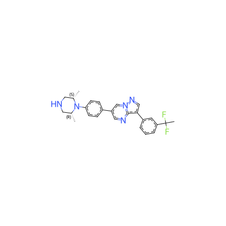 C[C@@H]1CNC[C@H](C)N1c1ccc(-c2cnc3c(-c4cccc(C(C)(F)F)c4)cnn3c2)cc1